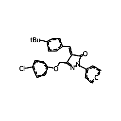 CC(C)(C)c1ccc(/C=C2/C(=O)N(c3ccccc3)N=C2COc2ccc(Cl)cc2)cc1